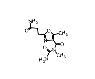 Cc1oc(CCC(N)=O)nc1C(=O)N(C)C(N)=O